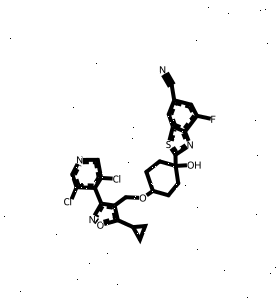 N#Cc1cc(F)c2nc(C3(O)CCC(OCc4c(-c5c(Cl)cncc5Cl)noc4C4CC4)CC3)sc2c1